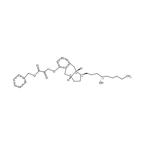 CCCCC[C@H](O)CCC[C@H]1CC[C@@H]2Cc3c(cccc3OCC(=O)C(=O)OCc3ccccc3)C[C@H]12